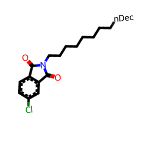 CCCCCCCCCCCCCCCCCCN1C(=O)c2ccc(Cl)cc2C1=O